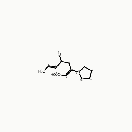 CC=CC(C)CC(=CC(=O)O)N1CCCC1